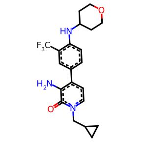 Nc1c(-c2ccc(NC3CCOCC3)c(C(F)(F)F)c2)ccn(CC2CC2)c1=O